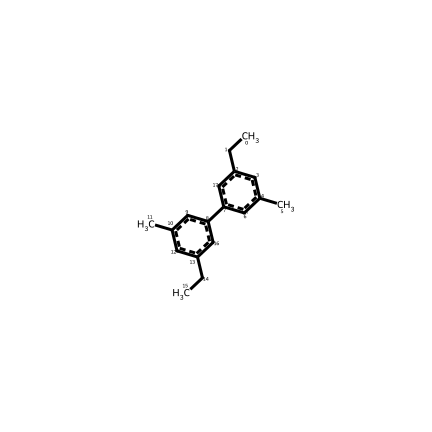 CCc1cc(C)[c]c(-c2[c]c(C)cc(CC)c2)c1